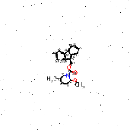 COC1CC[C@@H](C)CN1C(=O)OCC1c2ccccc2-c2ccccc21